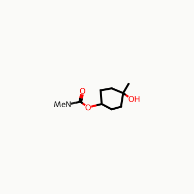 CNC(=O)OC1CCC(C)(O)CC1